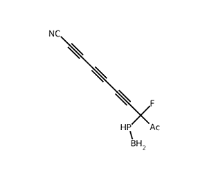 BPC(F)(C#CC#CC#CC#N)C(C)=O